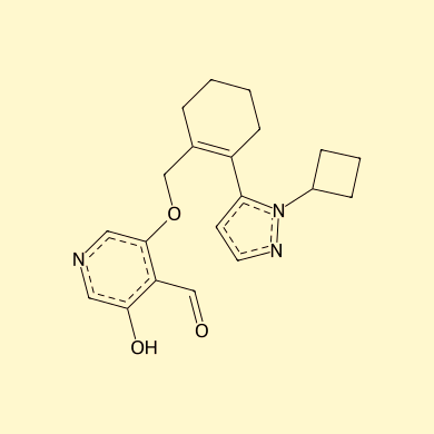 O=Cc1c(O)cncc1OCC1=C(c2ccnn2C2CCC2)CCCC1